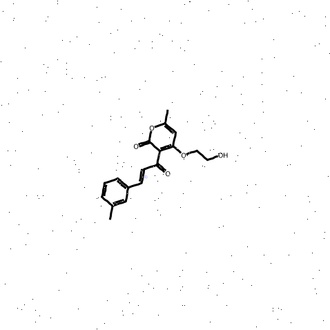 Cc1cccc(/C=C/C(=O)c2c(OCCO)cc(C)oc2=O)c1